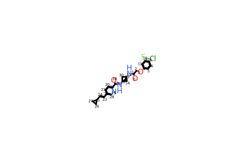 O=C(COc1ccc(Cl)c(F)c1)NC12CC(NC(=O)c3ccc(/C=C/C4CC4)cn3)(C1)C2